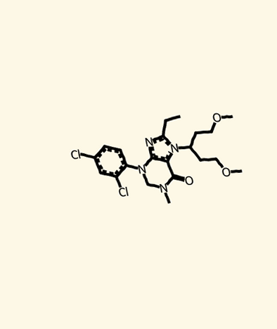 CCc1nc2c(n1C(CCOC)CCOC)C(=O)N(C)CN2c1ccc(Cl)cc1Cl